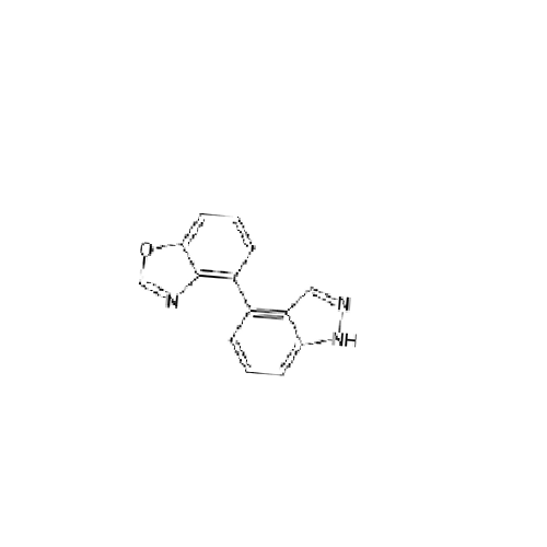 c1cc(-c2cccc3ocnc23)c2cn[nH]c2c1